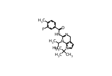 Cc1ccc(C(=O)NC2=NCc3ccn(C(C)(C)C)c3N2C(C)C)cc1F